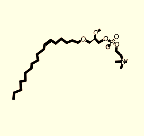 CCCCCCCCCCC/C=C\CCCCCOC[C@H](COP(=O)([O-])OCC[N+](C)(C)C)OC